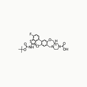 CC(C)(C)OC(=O)Nc1nc2c(-c3cc4c(cc3Cl)CN3CCN(C(=O)O)C[C@H]3CO4)ccc(F)c2s1